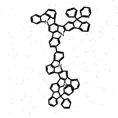 C1=CC2c3ccccc3C(c3ccccc3)(c3ccccc3)C2c2c1c1c3c4cccc5c6cc(-c7ccc8c9cc%10c(c%11cccc%12c%13ccccc%13n%10c%12%11)c%10c%11cc%12c(cc%11n(c8c7)c9%10)-c7ccccc7C%12(c7ccccc7)c7ccccc7)ccc6n(c3cc3c6ccccc6n2c31)c54